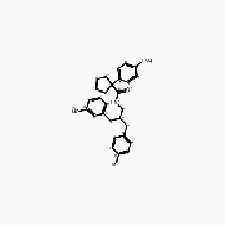 COc1ccc(C2(C(=O)NCC(Cc3ccc(Cl)cc3)Cc3cccc(C#N)c3)CCCC2)cc1